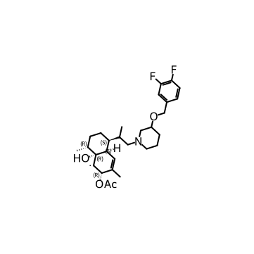 CC(=O)O[C@@H]1[CH][C@@]2(O)[C@H](C)CC[C@@H](C(C)CN3CCCC(OCc4ccc(F)c(F)c4)C3)[C@H]2C=C1C